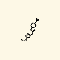 CNc1cn(Cc2cn3cc(C4CC4)ccc3n2)nn1